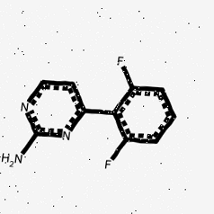 Nc1nccc(-c2c(F)cccc2F)n1